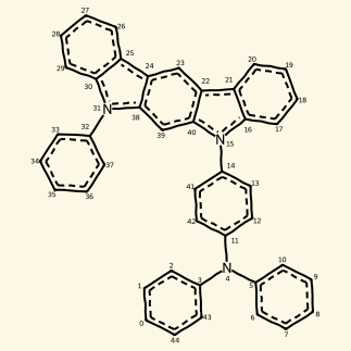 c1ccc(N(c2ccccc2)c2ccc(-n3c4ccccc4c4cc5c6ccccc6n(-c6ccccc6)c5cc43)cc2)cc1